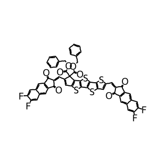 O=C1C(=CC2=Cc3sc4c(sc5c6sc(C=C7C(=O)c8cc9cc(F)c(F)cc9cc8C7=O)cc6sc45)c3C2(C(=O)OCc2ccccc2)C(=O)OCc2ccccc2)C(=O)c2cc3cc(F)c(F)cc3cc21